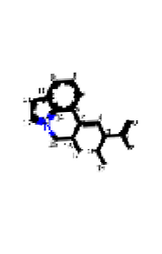 C=C(C)C(/C=C1/c2cccc3ccn(c23)CC1C)CC